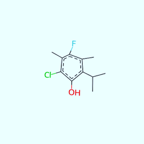 Cc1c(F)c(C)c(C(C)C)c(O)c1Cl